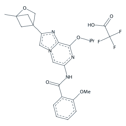 COc1ccccc1C(=O)Nc1cn2cc(C34COC(C)(C3)C4)nc2c(OC(C)C)n1.O=C(O)C(F)(F)F